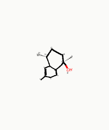 CC1=CC2C(CC1)[C@](C)(O)CC[C@H]2C(C)C